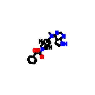 CN(c1ncnc2[nH]ccc12)[C@H]1C[C@@H]2CN(C(=O)C(O)c3ccccc3)C[C@@H]2C1